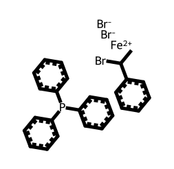 CC(Br)c1ccccc1.[Br-].[Br-].[Fe+2].c1ccc(P(c2ccccc2)c2ccccc2)cc1